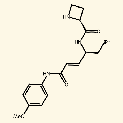 COc1ccc(NC(=O)C=C[C@H](CC(C)C)NC(=O)[C@@H]2CCN2)cc1